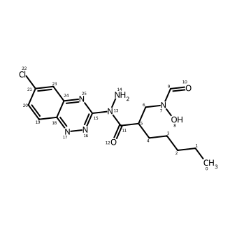 CCCCCC(CN(O)C=O)C(=O)N(N)c1nnc2ccc(Cl)cc2n1